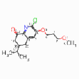 COCCCOc1cc2c(nc1Cl)C(=O)CC(C(C)C)C2